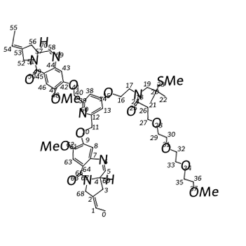 C/C=C1\C[C@H]2C=Nc3cc(OCc4cc(OCCN(CC(C)(C)SC)C(=O)CCOCCOCCOCCOC)cc(COc5cc6c(cc5OC)C(=O)N5C/C(=C/C)C[C@H]5C=N6)n4)c(OC)cc3C(=O)N2C1